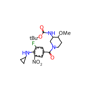 COC1CCN(C(=O)c2cc(F)c(NC3CC3)c([N+](=O)[O-])c2)CC1NC(=O)OC(C)(C)C